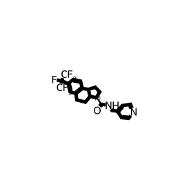 O=C(NCc1ccncc1)[C@@H]1CCC2c3ccc(C(F)(C(F)(F)F)C(F)(F)F)cc3CCC21